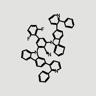 N#Cc1c(-n2c3ccccc3c3ccc(-c4cccnc4-c4ccccc4)cc32)cc(-c2c(F)cccc2F)cc1-n1c2ccccc2c2ccc(-c3cccnc3-c3ccccc3)cc21